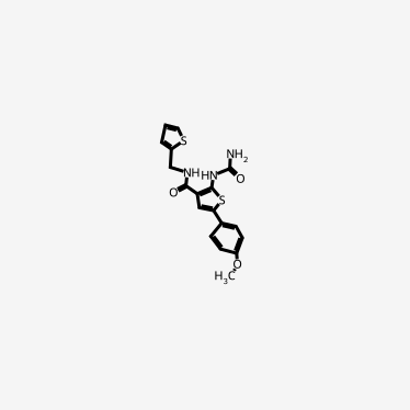 COc1ccc(-c2cc(C(=O)NCc3cccs3)c(NC(N)=O)s2)cc1